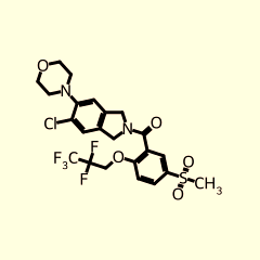 CS(=O)(=O)c1ccc(OCC(F)(F)C(F)(F)F)c(C(=O)N2Cc3cc(Cl)c(N4CCOCC4)cc3C2)c1